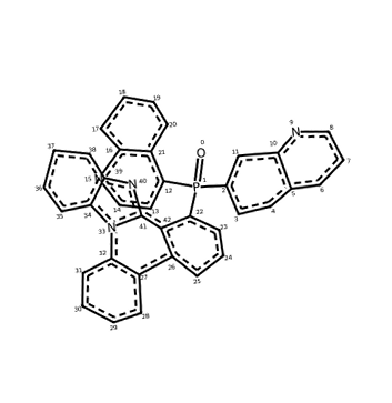 O=P(c1ccc2cccnc2c1)(c1ccnc2ccccc12)c1cccc2c3ccccc3n3c4ccccc4nc3c12